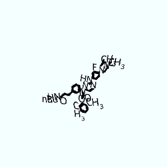 CCCCNC(=O)CCc1cccc(N(C(=O)Oc2c(C)cccc2C)c2ccnc(Nc3ccc(N4CCN(C)C(C)C4)c(F)c3)n2)c1